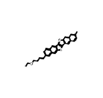 CCOCCCCc1ccc2cc3c(cc2c1)sc1c2cc4ccc(C)cc4cc2sc31